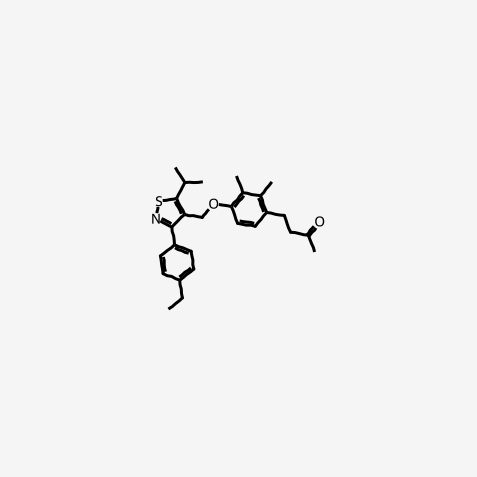 CCc1ccc(-c2nsc(C(C)C)c2COc2ccc(CCC(C)=O)c(C)c2C)cc1